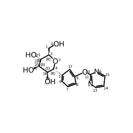 OC[C@H]1O[C@H](c2cccc(Oc3ncccn3)c2)[C@@H](O)[C@@H](O)[C@@H]1O